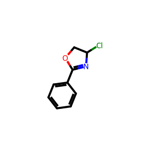 ClC1COC(c2ccccc2)=N1